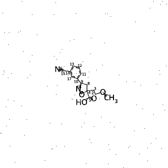 COCCC1(C(=O)O)CC(c2cccc(C#N)c2)=NO1